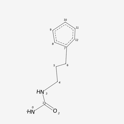 [NH]C(=O)NCCCc1ccccc1